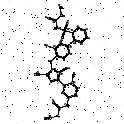 CCCCc1nn(-c2cc(NC(=O)COC)ccc2Br)c(=O)n1Cc1ccc(-c2ccccc2S(=O)(=O)NC(=O)OC(C)(C)C)cc1F